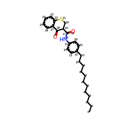 CCCCCCCCCCCCc1ccc(NC(=O)C2CSc3ccccc3C2=O)cc1